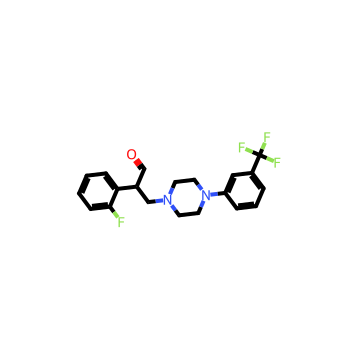 O=CC(CN1CCN(c2cccc(C(F)(F)F)c2)CC1)c1ccccc1F